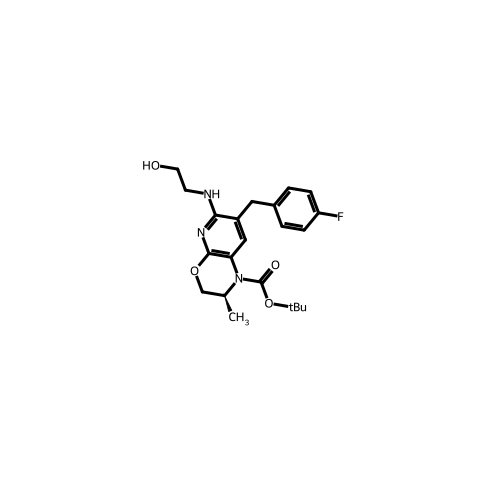 C[C@H]1COc2nc(NCCO)c(Cc3ccc(F)cc3)cc2N1C(=O)OC(C)(C)C